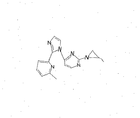 Cc1cccc(-c2nccn2-c2ccnc(N3CC3C)n2)n1